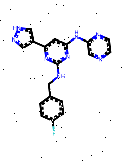 Fc1ccc(CNc2nc(Nc3cnccn3)cc(-c3cn[nH]c3)n2)cc1